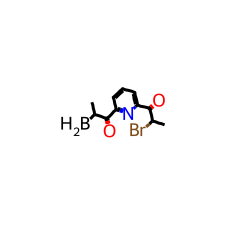 BC(C)C(=O)c1cccc(C(=O)C(C)Br)n1